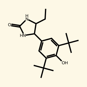 CCC1NC(=O)NC1c1cc(C(C)(C)C)c(O)c(C(C)(C)C)c1